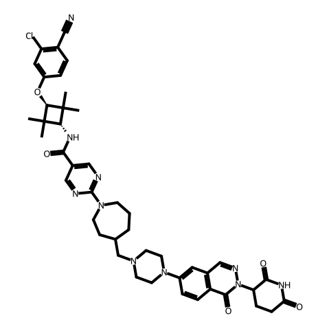 CC1(C)[C@H](NC(=O)c2cnc(N3CCCC(CN4CCN(c5ccc6c(=O)n(C7CCC(=O)NC7=O)ncc6c5)CC4)CC3)nc2)C(C)(C)[C@H]1Oc1ccc(C#N)c(Cl)c1